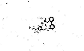 Cc1oc(C(C)C)nc1CCOc1cccc(-c2ccccc2CC(=O)O)c1.[NaH]